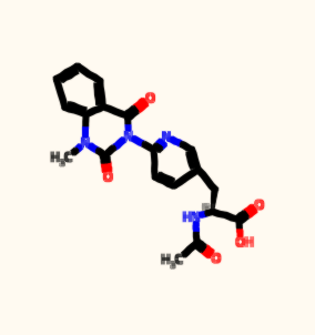 CC(=O)N[C@@H](Cc1ccc(-n2c(=O)c3ccccc3n(C)c2=O)nc1)C(=O)O